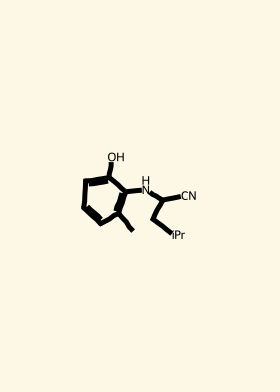 Cc1cccc(O)c1NC(C#N)CC(C)C